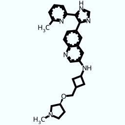 Cc1cccc(-c2[nH]cnc2-c2ccc3ncc(NC4CC(CO[C@H]5CCN(C)C5)C4)cc3c2)n1